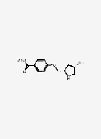 COC(=O)c1ccc(OC[C@@H]2C[C@H](O)CN2)cc1